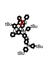 CC(C)(C)c1ccc(N2B3c4cc5oc(-c6ccccc6)c(-c6ccccc6)c5cc4N(c4ccc(C(C)(C)C)cc4-c4ccccc4)c4c3c(cc3c4oc4ccccc43)-c3cc4c(cc32)sc2cc(N(c3ccc(C(C)(C)C)cc3)c3ccc(C(C)(C)C)cc3)ccc24)cc1